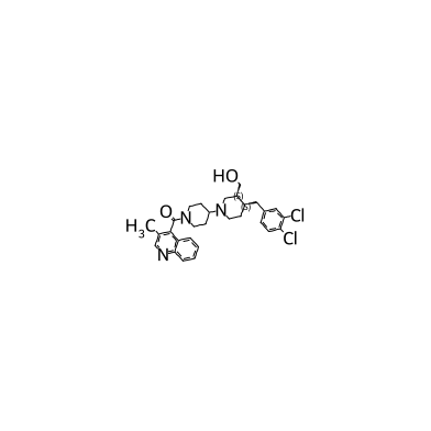 Cc1cnc2ccccc2c1C(=O)N1CCC(N2CC[C@H](Cc3ccc(Cl)c(Cl)c3)[C@H](CO)C2)CC1